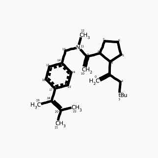 C=C(CC(C)(C)C)C1CCCC1C(=C)N(C)Cc1ccc(C(C)=C(C)C)cc1